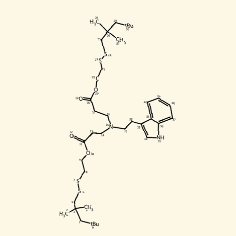 CC(C)(C)CC(C)(C)CSSCCOC(=O)CCN(CCC(=O)OCCSSCC(C)(C)CC(C)(C)C)CCc1c[nH]c2ccccc12